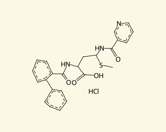 CSC(CC(NC(=O)c1ccccc1-c1ccccc1)C(=O)O)NC(=O)c1cccnc1.Cl